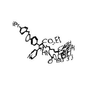 CCOC(=O)c1c(-c2ccc(OCc3ccc(C(C)C)cc3)cc2)c(-c2ccncc2)nn1CC(CCC(C)(C)[Si](C)(C)O)NC(=O)OC(C)(C)C